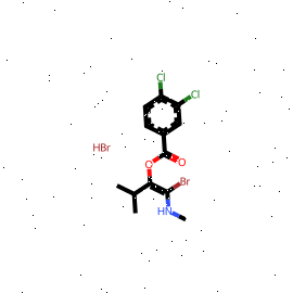 Br.CNC(Br)=C(OC(=O)c1ccc(Cl)c(Cl)c1)C(C)C